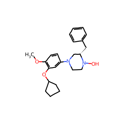 COc1ccc(N2CCN(O)[C@@H](Cc3ccccc3)C2)cc1OC1CCCC1